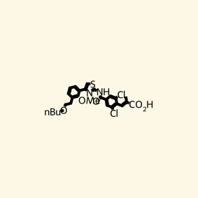 CCCCOCCc1cccc(-c2csc(NC(=O)c3cc(Cl)c(C=C(C)C(=O)O)c(Cl)c3)n2)c1OC